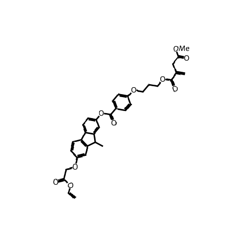 C=COC(=O)COc1ccc2c(c1)C(C)c1cc(OC(=O)c3ccc(OCCCOC(=O)C(=C)CC(=O)OC)cc3)ccc1-2